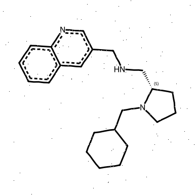 c1ccc2ncc(CNC[C@@H]3CCCN3CC3CCCCC3)cc2c1